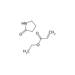 C=CC(=O)OCC.O=C1CCCN1